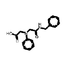 O=C(O)CN(CC(=O)NCc1ccccc1)c1ccccc1